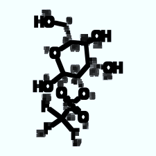 O=S(=O)(O[C@@H]1C(O)O[C@H](CO)[C@@H](O)[C@@H]1O)C(F)(F)F